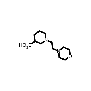 O=C(O)C1CCCN(CCN2CCOCC2)C1